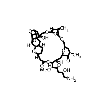 C=C1C[C@@H]2CC[C@@]3(O)CC4OC5C6[C@@H](O3)C3O[C@H](CC[C@@H]3C[C@H]6[C@H]45)CC(=O)C[C@H]3[C@H](CC4OC(CCC1O2)C[C@@H](C)C4=O)OC(C[C@H](O)CN)[C@@H]3OC